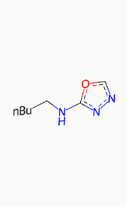 CCCCCNc1nnco1